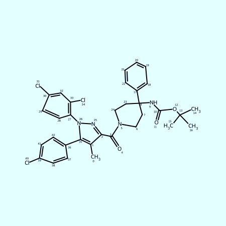 Cc1c(C(=O)N2CCC(NC(=O)OC(C)(C)C)(c3ccccc3)CC2)nn(-c2ccc(Cl)cc2Cl)c1-c1ccc(Cl)cc1